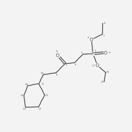 CCOP(=O)(CCC(=O)CCC1CCCCC1)OCC